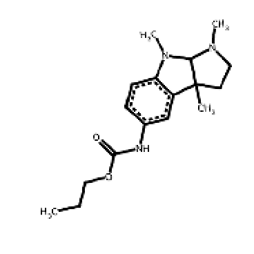 CCCOC(=O)Nc1ccc2c(c1)C1(C)CCN(C)C1N2C